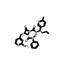 CCC[C@@H](NC(=O)N1C(=O)[C@H](Cc2ccnc(N)c2)[C@H]1C(=O)N(C)c1ccccc1)c1ccc(C)nc1